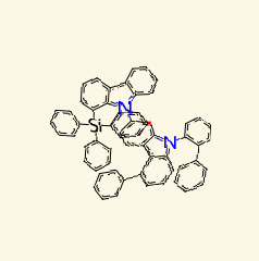 c1ccc(-c2ccccc2-n2c3cc(-n4c5ccccc5c5cccc([Si](c6ccccc6)(c6ccccc6)c6ccccc6)c54)ccc3c3c(-c4ccccc4)cccc32)cc1